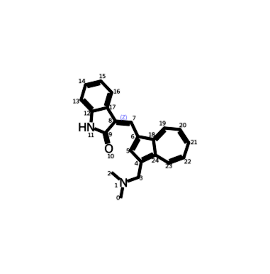 CN(C)Cc1cc(/C=C2\C(=O)Nc3ccccc32)c2cccccc1-2